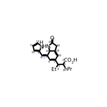 CCCC(C(=O)O)C(CC)C1=C/C(=C/c2ccc[nH]2)C2NC(=O)CC2=C1